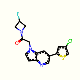 O=C(Cn1ccc2ncc(-c3cc(Cl)cs3)cc21)N1CC(F)C1